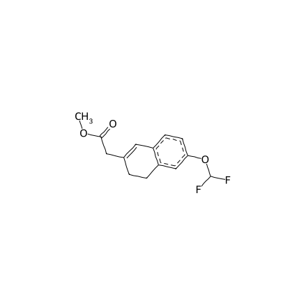 COC(=O)CC1=Cc2ccc(OC(F)F)cc2CC1